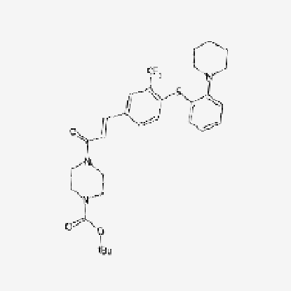 CC(C)(C)OC(=O)N1CCN(C(=O)C=Cc2ccc(Sc3ccccc3N3CCCCC3)c(C(F)(F)F)c2)CC1